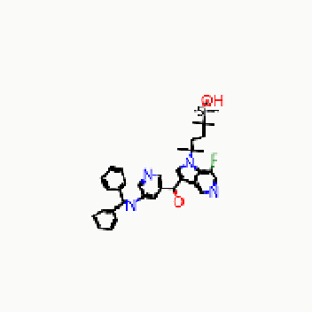 CC(C)(CCC(C)(C)[Si](C)(C)O)n1cc(C(=O)c2cncc(N=C(c3ccccc3)c3ccccc3)c2)c2cncc(F)c21